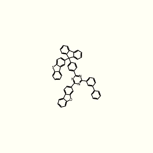 c1ccc(-c2cccc(-c3nc(-c4ccc(C5(c6ccc7sc8ccccc8c7c6)c6ccccc6-c6ccccc65)cc4)nc(-c4ccc5c(c4)oc4ccccc45)n3)c2)cc1